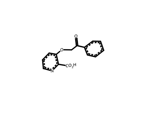 O=C(COc1cccnc1C(=O)O)c1ccccc1